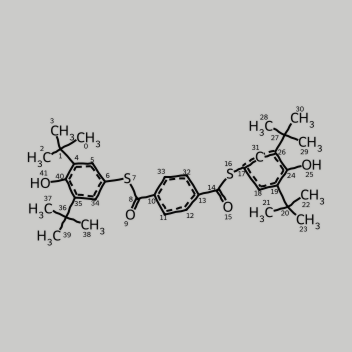 CC(C)(C)c1cc(SC(=O)c2ccc(C(=O)Sc3cc(C(C)(C)C)c(O)c(C(C)(C)C)c3)cc2)cc(C(C)(C)C)c1O